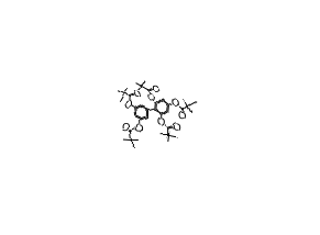 CC(C)(C)C(=O)Oc1cc(OC(=O)C(C)(C)C)cc(-c2c(OC(=O)C(C)(C)C)cc(OC(=O)C(C)(C)C)cc2OC(=O)C(C)(C)C)c1